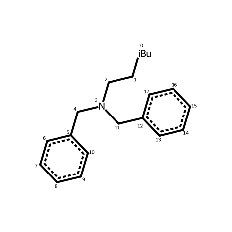 CCC(C)CCN(Cc1ccccc1)Cc1ccccc1